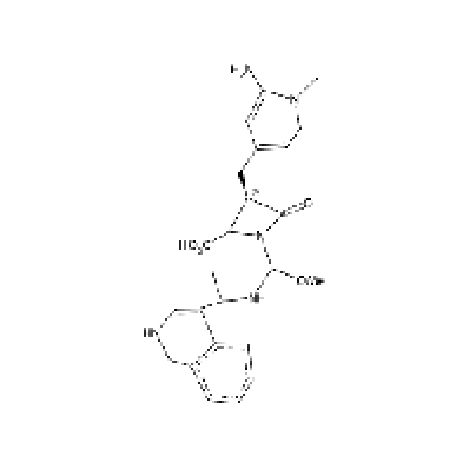 COC(NC(C)C1=CNCc2ccccc21)N1C(=O)[C@H](CC2=CCN(C)C(N)=C2)C1C(=O)O